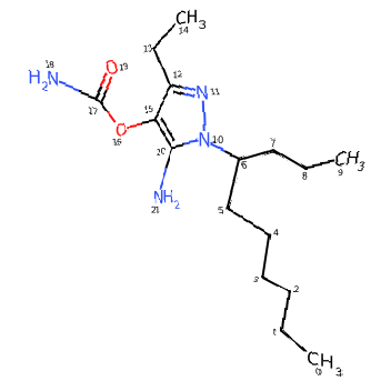 CCCCCCC(CCC)n1nc(CC)c(OC(N)=O)c1N